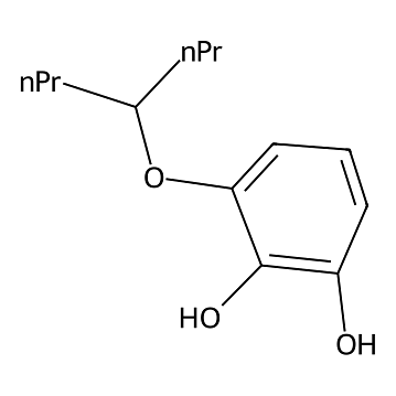 CCCC(CCC)Oc1cccc(O)c1O